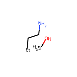 CCCCN.O[SiH3]